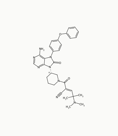 CN(C)C(C)(C)C=C(C#N)C(=O)N1CCC[C@H](n2c(=O)n(-c3ccc(Oc4ccccc4)cc3)c3c(N)ncnc32)C1